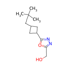 CC(C)(C)CC1CC(c2nnc(CO)o2)C1